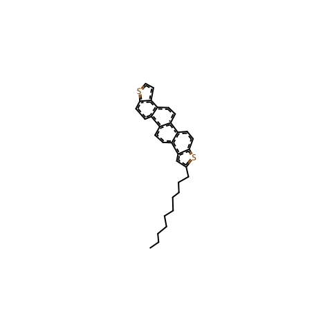 CCCCCCCCCCc1cc2c(ccc3c2ccc2c4ccc5sccc5c4ccc32)s1